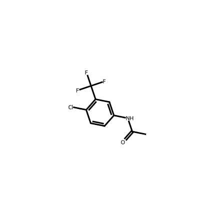 CC(=O)Nc1ccc(Cl)c(C(F)(F)F)c1